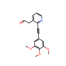 COc1cc(C#Cc2ncccc2CC=O)cc(OC)c1OC